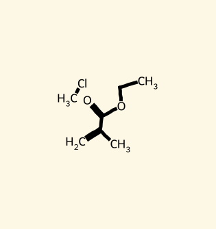 C=C(C)C(=O)OCC.CCl